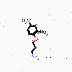 NCCCOc1ccc([N+](=O)[O-])cc1[N+](=O)[O-]